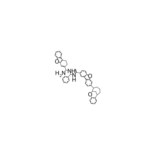 C=C(NC(NC(N)C1=Cc2oc3ccccc3c2CC1)c1ccccc1)c1ccc2oc3cc(C4CCCC5CC4Oc4ccccc45)ccc3c2c1